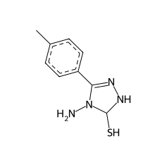 Cc1ccc(C2=NNC(S)N2N)cc1